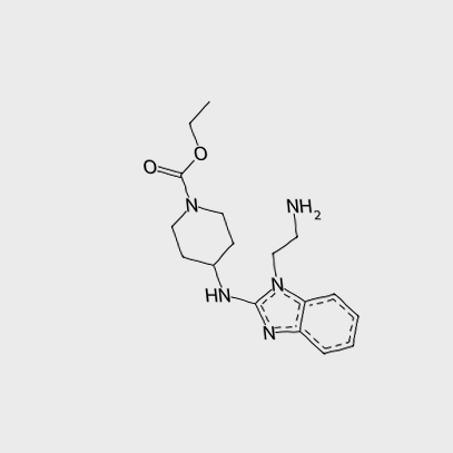 CCOC(=O)N1CCC(Nc2nc3ccccc3n2CCN)CC1